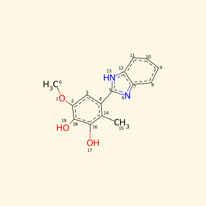 COc1cc(-c2nc3ccccc3[nH]2)c(C)c(O)c1O